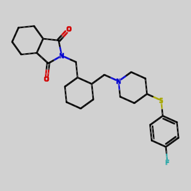 O=C1C2CCCCC2C(=O)N1CC1CCCCC1CN1CCC(Sc2ccc(F)cc2)CC1